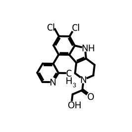 Cc1ncccc1-c1cc(Cl)c(Cl)c2[nH]c3c(c12)CN(C(=O)CO)CC3